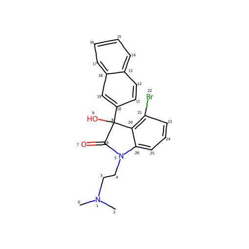 CN(C)CCN1C(=O)C(O)(c2ccc3ccccc3c2)c2c(Br)cccc21